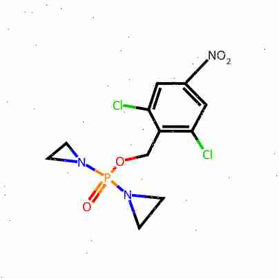 O=[N+]([O-])c1cc(Cl)c(COP(=O)(N2CC2)N2CC2)c(Cl)c1